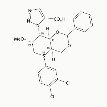 CO[C@H]1C[SH](c2ccc(Cl)c(Cl)c2)[C@@H]2COC(c3ccccc3)O[C@@H]2[C@H]1n1nncc1C(=O)O